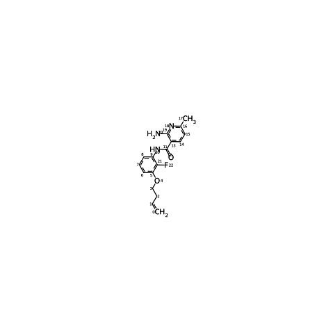 C=CCCOc1cccc(NC(=O)c2ccc(C)nc2N)c1F